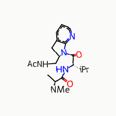 CN[C@@H](C)C(=O)N[C@H](C(=O)N1c2ncccc2CC1CNC(C)=O)C(C)C